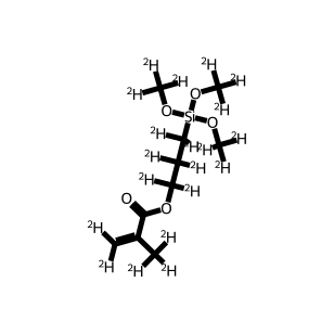 [2H]C([2H])=C(C(=O)OC([2H])([2H])C([2H])([2H])C([2H])([2H])[Si](OC([2H])([2H])[2H])(OC([2H])([2H])[2H])OC([2H])([2H])[2H])C([2H])([2H])[2H]